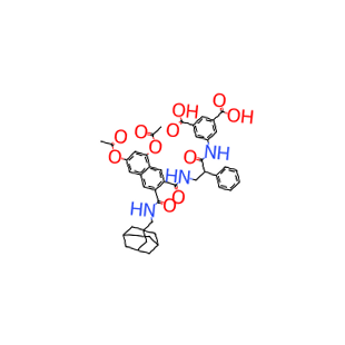 CC(=O)Oc1cc(OC(C)=O)c2cc(C(=O)NCC(C(=O)Nc3cc(C(=O)O)cc(C(=O)O)c3)c3ccccc3)c(C(=O)NCC34CC5CC(CC(C5)C3)C4)cc2c1